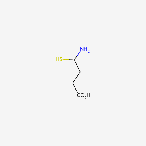 NC(S)CCC(=O)O